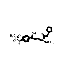 CCN(CCCC(O)c1ccc(NS(C)(=O)=O)cc1)C(=O)CC1CCCC1